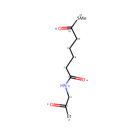 CCC(=O)CNC(=O)CCCCC(=O)SC